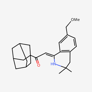 COCc1ccc2c(c1)C(=CC(=O)C13CC4CC(CC(C4)C1)C3)NC(C)(C)C2